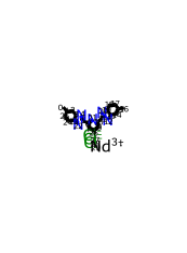 CC1=CC2N=C(c3cccc(C4=NC5C=C(C)C=CC5=N4)n3)N=C2C=C1.[Cl-].[Cl-].[Cl-].[Nd+3]